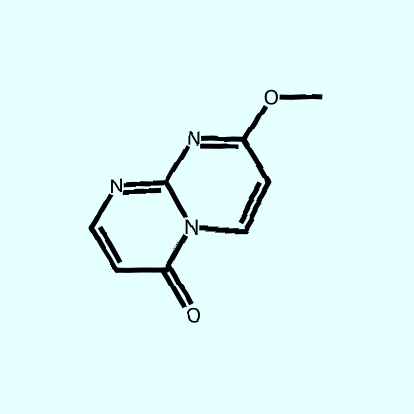 COc1ccn2c(=O)ccnc2n1